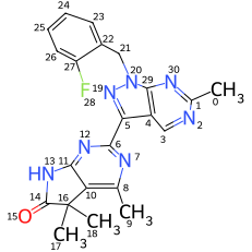 Cc1ncc2c(-c3nc(C)c4c(n3)NC(=O)C4(C)C)nn(Cc3ccccc3F)c2n1